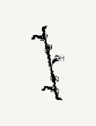 CC/C=C\CCOC(CCCCC(=O)OCCCCCCN(CCCO)CCCCCCOC(=O)CCCCC(OCC/C=C\CC)OCC/C=C\CC)OCC/C=C\CC